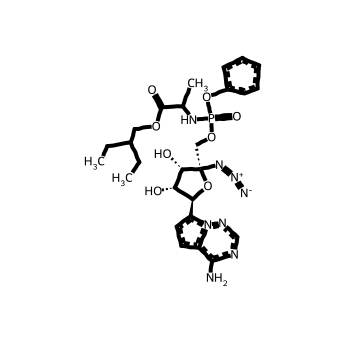 CCC(CC)COC(=O)C(C)NP(=O)(OC[C@]1(N=[N+]=[N-])O[C@@H](c2ccc3c(N)ncnn23)[C@H](O)[C@@H]1O)Oc1ccccc1